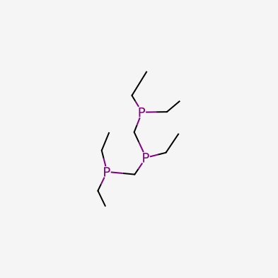 CCP(CC)CP(CC)CP(CC)CC